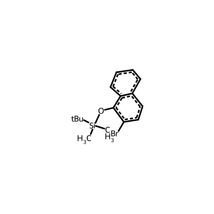 CC(C)(C)[Si](C)(C)Oc1c(Br)ccc2ccccc12